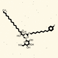 CCCCCCCCCCCCCC[C@@H](O)[C@@H](O)[C@H](CO[C@H]1OC(CO)[C@H](O)[C@H](O)C1O)NC(=O)OCCCCCCCCCc1ccc(F)cc1